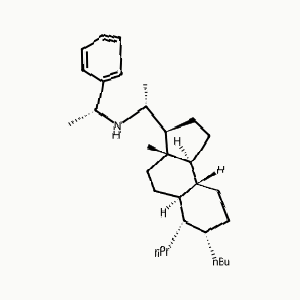 CCCC[C@H]1CC[C@@H]2[C@H](CC[C@]3(C)[C@@H]([C@@H](C)N[C@H](C)c4ccccc4)CC[C@@H]23)[C@H]1CCC